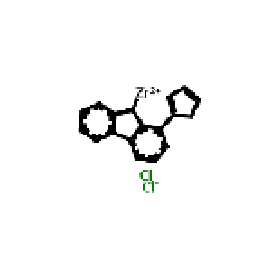 [Cl-].[Cl-].[Zr+2][CH]1c2ccccc2-c2cccc(C3=CC=CC3)c21